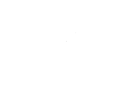 CC1[CH]CC(C)(C)O1